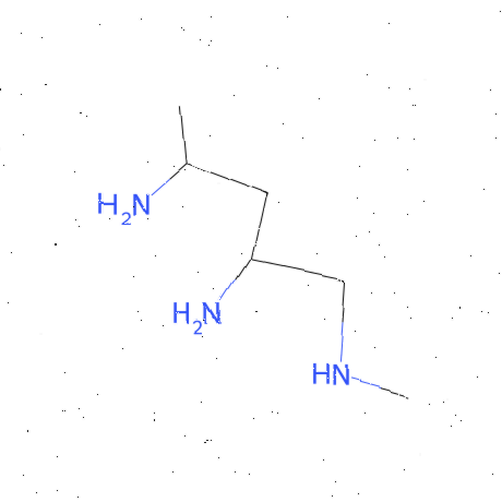 CNCC(N)CC(C)N